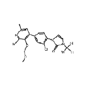 [2H]C([2H])([2H])n1ccn(-c2ccc(-c3cc(C)nc(Br)c3OCOC)cc2Cl)c1=O